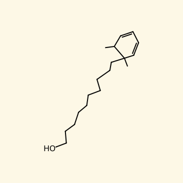 CC1C=CC=CC1(C)CCCCCCCCCCO